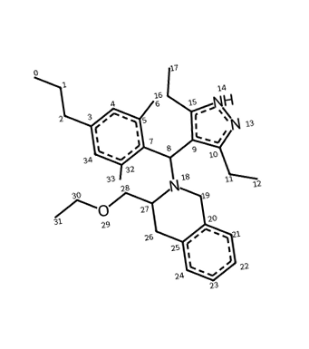 CCCc1cc(C)c(C(c2c(CC)n[nH]c2CC)N2Cc3ccccc3CC2COCC)c(C)c1